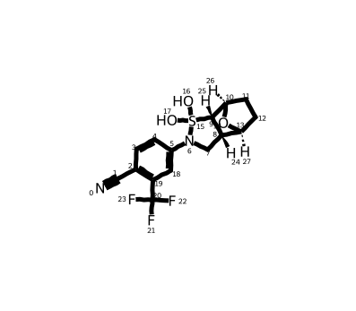 N#Cc1ccc(N2C[C@@H]3[C@@H]([C@H]4CC[C@@H]3O4)S2(O)O)cc1C(F)(F)F